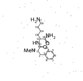 CN[C@@H](Cc1ccccc1)C(=O)NC(CCCCN)C(N)=O